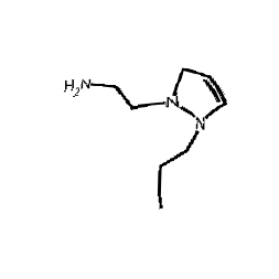 CCCN1C=CCN1CCN